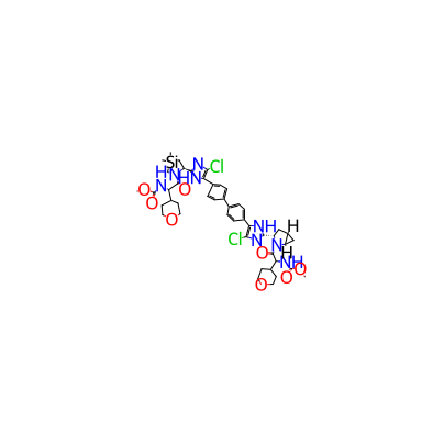 COC(=O)N[C@H](C(=O)N1C[Si](C)(C)C[C@H]1c1nc(Cl)c(-c2ccc(-c3ccc(-c4[nH]c([C@@H]5C[C@H]6C[C@H]6N5C(=O)[C@@H](NC(=O)OC)C5CCOCC5)nc4Cl)cc3)cc2)[nH]1)C1CCOCC1